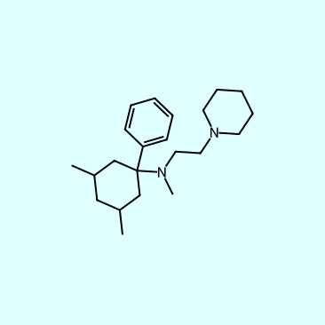 CC1CC(C)CC(c2ccccc2)(N(C)CCN2CCCCC2)C1